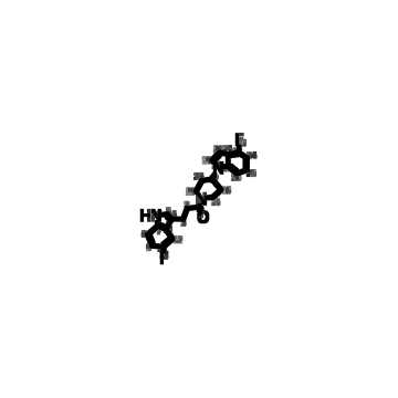 O=C(CCc1c[nH]c2ccc(F)cc12)N1CCC(n2ccc3c(F)cccc32)CC1